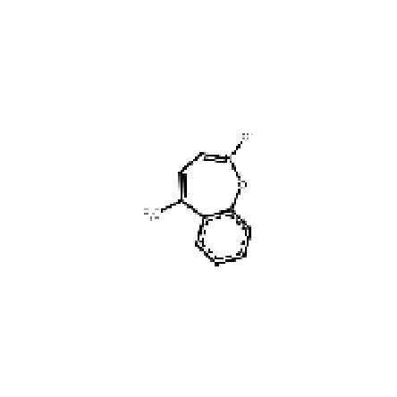 [O-][N+]1=CC=C(C(F)(F)F)c2ccccc2O1